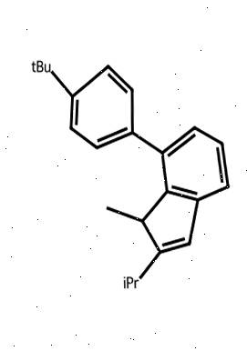 CC(C)C1=Cc2cccc(-c3ccc(C(C)(C)C)cc3)c2C1C